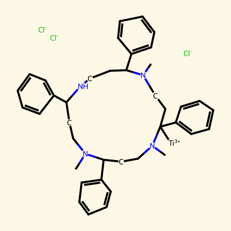 CN1CCC(c2ccccc2)NCCC(c2ccccc2)N(C)CC[C]([Ti+3])(c2ccccc2)N(C)CCC1c1ccccc1.[Cl-].[Cl-].[Cl-]